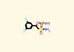 CCCCCOC(CS(N)(=O)=O)c1cc(F)cc(F)c1